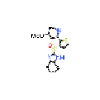 COc1ccnc(-c2sccc2[S+]([O-])c2nc3ccccc3[nH]2)c1